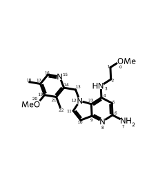 COCCNc1cc(N)nc2ccn(Cc3ncc(C)c(OC)c3C)c12